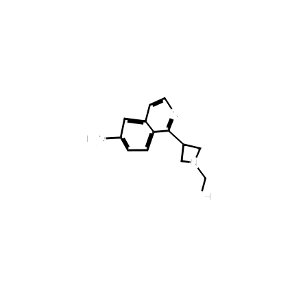 CCN1CC(c2nccc3cc(N)ccc23)C1